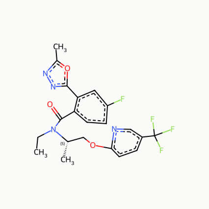 CCN(C(=O)c1ccc(F)cc1-c1nnc(C)o1)[C@@H](C)COc1ccc(C(F)(F)F)cn1